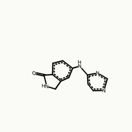 O=C1NCc2cc(Nc3ccncn3)ccc21